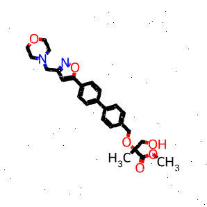 COC(=O)C(C)(CO)OCc1ccc(-c2ccc(-c3cc(CN4CCOCC4)no3)cc2)cc1